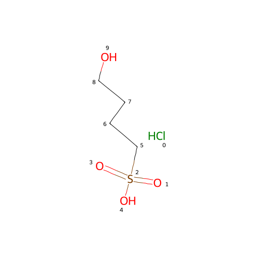 Cl.O=S(=O)(O)CCCCO